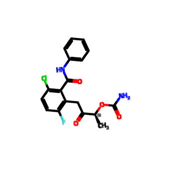 C[C@H](OC(N)=O)C(=O)Cc1c(F)ccc(Cl)c1C(=O)Nc1ccccc1